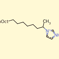 CCCCCCCCCCCCCCC(C)[n+]1cc[nH]c1